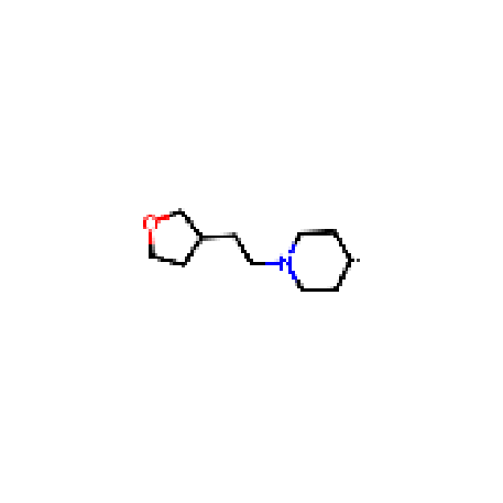 [CH]1CCN(CCC2CCOC2)CC1